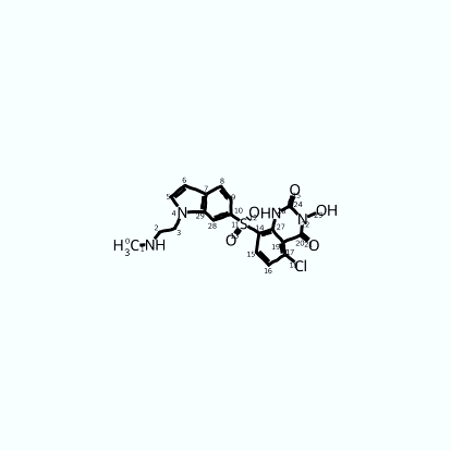 CNCCn1ccc2ccc(S(=O)(=O)c3ccc(Cl)c4c(=O)n(O)c(=O)[nH]c34)cc21